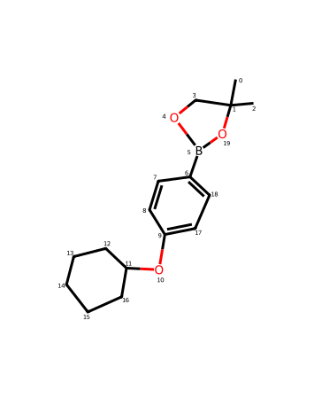 CC1(C)COB(c2ccc(OC3CCCCC3)cc2)O1